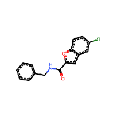 O=C(NCc1ccccc1)c1cc2cc(Cl)ccc2o1